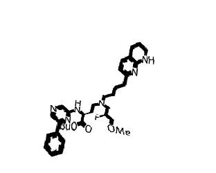 COC[C@@H](F)CN(CCCCc1ccc2c(n1)NCCC2)CC[C@H](Nc1cncc(-c2ccccc2)n1)C(=O)OCC(C)C